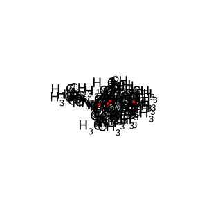 CC1(C)CC(OC(=O)CNCC[N+](CCN(CCN(CCN(CC(=O)OC2CC(C)(C)NC(C)(C)C2)CC(=O)OC2CC(C)(C)NC(C)(C)C2)CC(=O)OC2CC(C)(C)NC(C)(C)C2)CC(=O)OC2CC(C)(C)NC(C)(C)C2)(CC(=O)OC2CC(C)(C)NC(C)(C)C2)CC(=O)OC2CC(C)(C)NC(C)(C)C2)CC(C)(C)N1